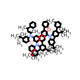 CC(=CC(C)c1ccccc1)N1c2cc(C(C)(C)C)ccc2B2c3ccc(C(C)(C)C)cc3N(c3c(-c4ccccc4)cc(C(C)(C)C)cc3-c3ccccc3)c3cc(-c4cc(-n5c6ccc(C(C)(C)C)cc6c6cc(C(C)(C)C)c(-c7cccc(C)c7)cc65)c5oc6ccccc6c5c4)cc1c32